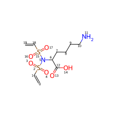 C=CS(=O)(=O)N(C(CCCCN)C(=O)O)S(=O)(=O)C=C